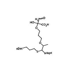 CCCCCCCCCCCCCSC(CCCCCCC)C(C)OCCCOC(O)([PH2]=O)C(=O)O